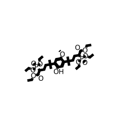 CCOC(=O)C(CCC(C)(C)c1cc(OC)c(C(C)(C)CCC(C(=O)OCC)P(=O)(OCC)OCC)cc1O)P(=O)(OCC)OCC